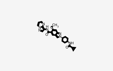 COc1cc2nn([C@H]3CC[C@H](NC(=O)C4CC4)CC3)cc2cc1C(=O)Nc1cnn2cccnc12